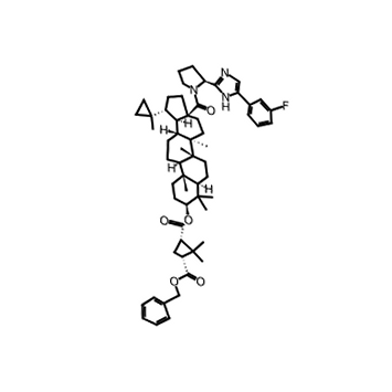 CC1([C@@H]2CC[C@]3(C(=O)N4CCC[C@H]4c4ncc(-c5cccc(F)c5)[nH]4)CC[C@]4(C)[C@H](CC[C@@H]5[C@@]6(C)CC[C@H](OC(=O)[C@H]7C[C@@H](C(=O)OCc8ccccc8)C7(C)C)C(C)(C)[C@@H]6CC[C@]54C)[C@@H]23)CC1